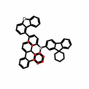 C1=CCC(c2ccccc2N(c2ccc(-c3cccc4oc5ccccc5c34)cc2)c2ccc3c(c2)C2(CCCCC2)c2ccccc2-3)C(c2ccccc2-c2ccccc2)=C1